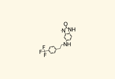 O=C1[N]c2cc(NCCc3ccc(C(F)(F)F)cc3)ccc2N1